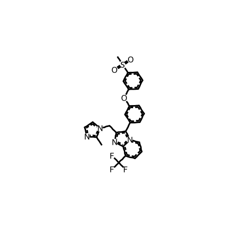 Cc1nccn1Cc1nc2c(C(F)(F)F)cccn2c1-c1cccc(Oc2cccc(S(C)(=O)=O)c2)c1